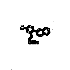 COC=Cc1cc(Cl)ccc1-c1ccc2ccccc2c1